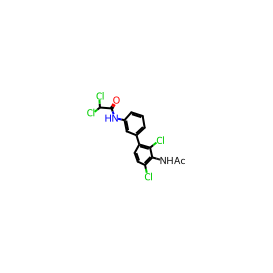 CC(=O)Nc1c(Cl)ccc(-c2cccc(NC(=O)C(Cl)Cl)c2)c1Cl